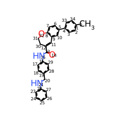 Cc1ccc(-c2ccc3c(c2)C=C(C(=O)Nc2ccc(CNc4ccccc4)cc2)CCO3)cc1